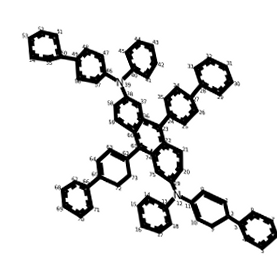 C1=CC(c2ccccc2)CC=C1N(c1ccccc1)c1ccc2c(-c3ccc(-c4ccccc4)cc3)c3cc(N(c4ccccc4)c4ccc(-c5ccccc5)cc4)ccc3c(C3=CC=C(c4ccccc4)CC3)c2c1